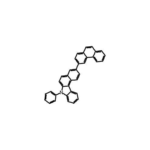 c1ccc(-n2c3ccccc3c3c4ccc(-c5ccc6ccc7ccccc7c6c5)cc4ccc32)cc1